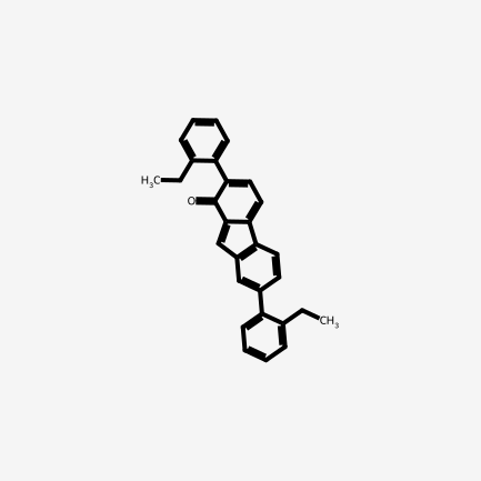 CCc1ccccc1C1=CC=C2C(=Cc3cc(-c4ccccc4CC)ccc32)C1=O